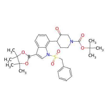 CC(C)(C)OC(=O)N1CCC(c2cccc3c(B4OC(C)(C)C(C)(C)O4)cn(S(=O)(=O)Cc4ccccc4)c23)C(=O)C1